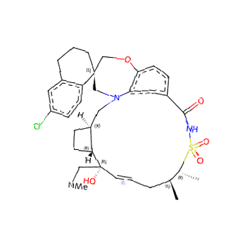 CNC[C@]1(O)/C=C/C[C@H](C)[C@@H](C)S(=O)(=O)NC(=O)c2ccc3c(c2)N(C[C@@H]2CC[C@H]21)C[C@@]1(CCCc2cc(Cl)ccc21)CO3